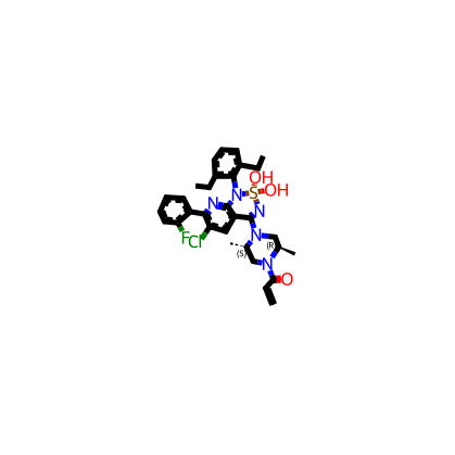 C=CC(=O)N1C[C@H](C)N(C2=NS(O)(O)N(c3c(CC)cccc3CC)c3nc(-c4ccccc4F)c(Cl)cc32)C[C@H]1C